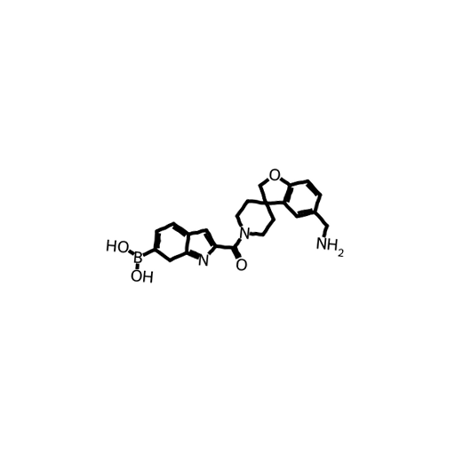 NCc1ccc2c(c1)C1(CCN(C(=O)C3=CC4=CC=C(B(O)O)CC4=N3)CC1)CO2